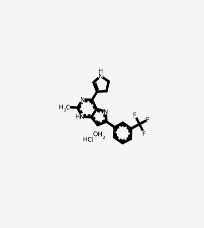 Cc1nc(C2=CNCC2)c2nc(-c3cccc(C(F)(F)F)c3)cc-2[nH]1.Cl.O